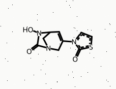 O=C1N2CC(n3ccsc3=O)=CC(C2)N1O